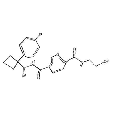 N=C(NC(=O)c1ccc(C(=O)NCCO)nc1)C1(c2ccc(Br)cc2)CCC1